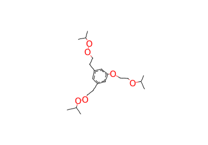 CC(C)OCCOc1cc(CCOOC(C)C)cc(CCOOC(C)C)c1